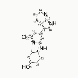 O[C@H]1CC[C@H](Nc2cc(-c3c[nH]c4ncccc34)cc(Cl)n2)CC1